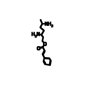 CC(N)CCC(N)CCOC(=O)C=Cc1ccccc1